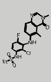 CCS(=O)(=O)Nc1ccc(F)c(Nc2ccc3ncn(C)c(=O)c3c2C)c1Cl